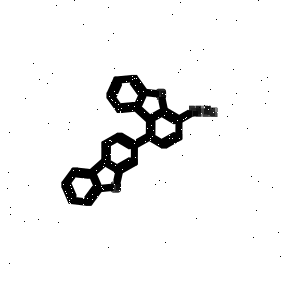 CC(=O)Nc1ccc(-c2ccc3c(c2)oc2ccccc23)c2c1oc1ccccc12